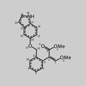 COC=C(C(=O)OC)c1ccccc1COc1ccc2[nH]ccc2c1